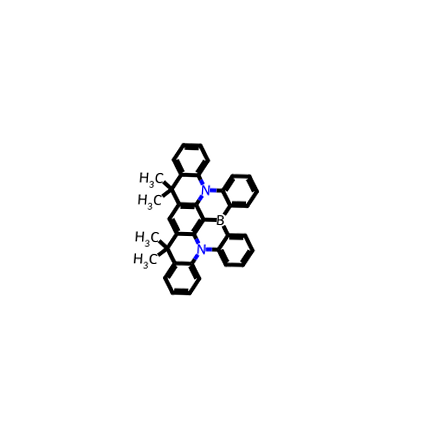 CC1(C)c2ccccc2N2c3ccccc3B3c4ccccc4N4c5ccccc5C(C)(C)c5cc1c2c3c54